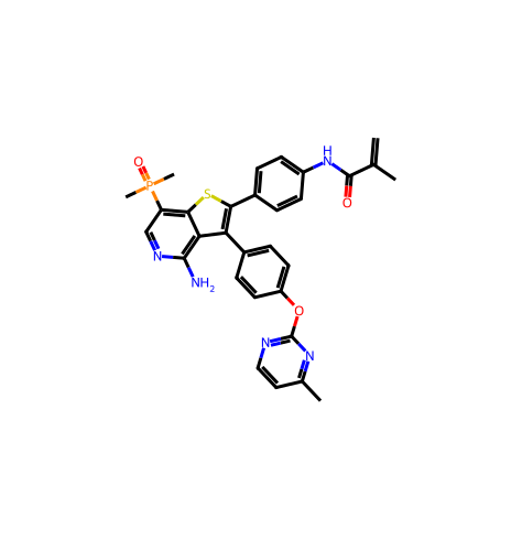 C=C(C)C(=O)Nc1ccc(-c2sc3c(P(C)(C)=O)cnc(N)c3c2-c2ccc(Oc3nccc(C)n3)cc2)cc1